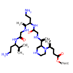 C=C(C)C(CCN)NC(=O)CNC(=C)C(CCN)NC(=O)CNC(=C)C1CNCCN1C(=C)CCC(=O)OC(C)CCC